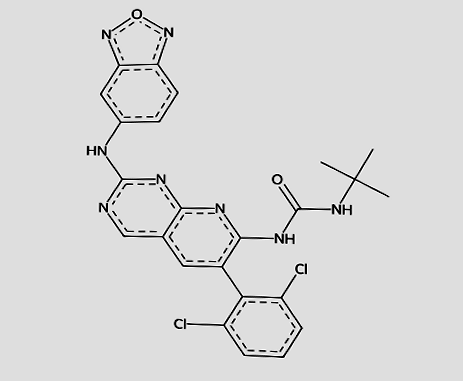 CC(C)(C)NC(=O)Nc1nc2nc(Nc3ccc4nonc4c3)ncc2cc1-c1c(Cl)cccc1Cl